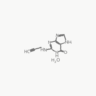 C#CCNc1nc2nc[nH]c2c(=O)[nH]1.O